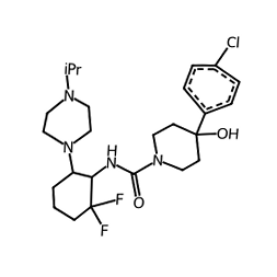 CC(C)N1CCN(C2CCCC(F)(F)C2NC(=O)N2CCC(O)(c3ccc(Cl)cc3)CC2)CC1